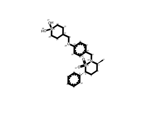 C[C@H]1CC[C@H](c2ccccc2)S(=O)(=O)N1Cc1ccc(OCC2CCS(O)(O)CC2)cc1